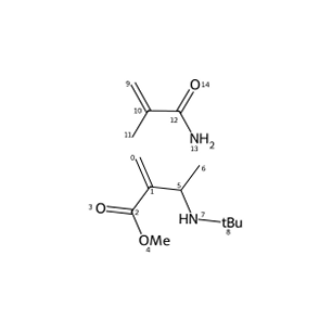 C=C(C(=O)OC)C(C)NC(C)(C)C.C=C(C)C(N)=O